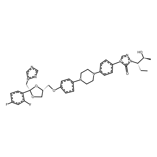 CC[C@@H]([C@H](C)O)n1ncn(-c2ccc(N3CCN(c4ccc(OC[C@@H]5CO[C@@](Cn6cncn6)(c6ccc(F)cc6F)O5)cc4)CC3)cc2)c1=O